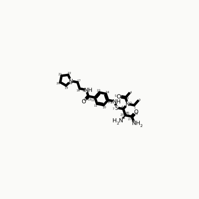 CCN(C(C)=O)C(SNc1ccc(C(=O)NCCN2CCCC2)cc1)[C@H](N)C(N)=O